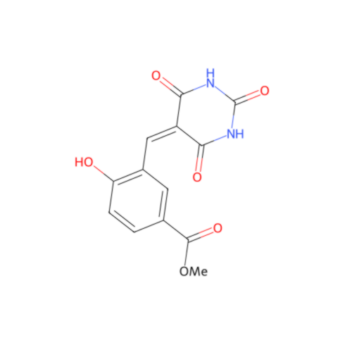 COC(=O)c1ccc(O)c(C=C2C(=O)NC(=O)NC2=O)c1